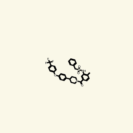 Cc1ccc(C(=O)N2CCC(c3ccc(Oc4ccc(C(F)(F)F)cc4)cc3)CC2)cc1NS(=O)(=O)Cc1ccccc1